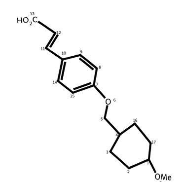 COC1CCC(COc2ccc(/C=C/C(=O)O)cc2)CC1